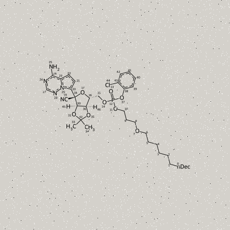 CCCCCCCCCCCCCCCCOCCCOP(=O)(OC[C@H]1O[C@@](C#N)(c2ccc3c(N)ncnn23)[C@@H]2OC(C)(C)O[C@@H]21)Oc1ccccc1Cl